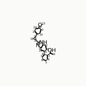 C=C(O)c1ccccc1-c1ccc2[nH]c(C3CC3c3ccc(OC)cc3)nc2c1